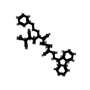 O=C(NNC(=O)C(CCCc1ccccc1)NC(=O)C(=O)O)OCC1c2ccccc2-c2ccccc21